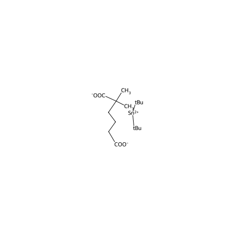 CC(C)(CCCC(=O)[O-])C(=O)[O-].C[C](C)(C)[Sn+2][C](C)(C)C